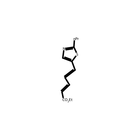 CCCc1ncc(C=CC=CC(=O)OCC)s1